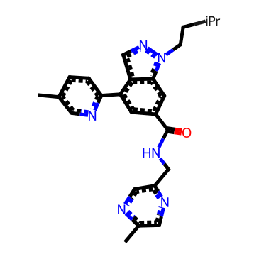 Cc1ccc(-c2cc(C(=O)NCc3cnc(C)cn3)cc3c2cnn3CCC(C)C)nc1